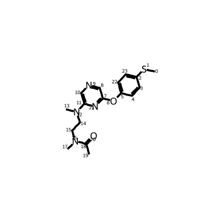 CSc1ccc(Oc2cncc(N(C)CCN(C)C(C)=O)n2)cc1